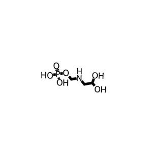 O=P(O)(O)OCNCC(O)O